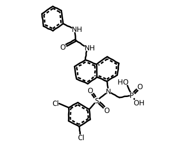 O=C(Nc1ccccc1)Nc1cccc2c(N(CP(=O)(O)O)S(=O)(=O)c3cc(Cl)cc(Cl)c3)cccc12